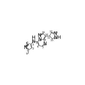 Cc1cc(Nc2ccnc3c(C4C=NNC4)cnn23)sn1